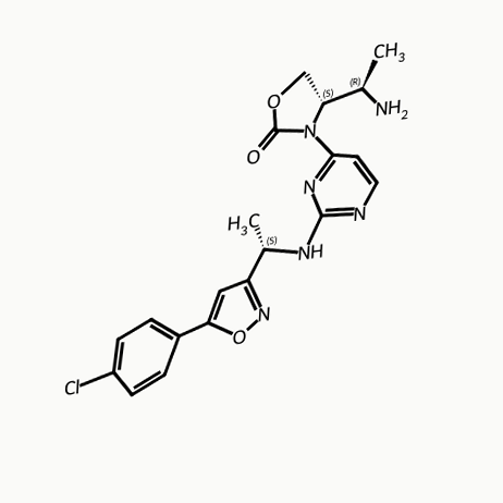 C[C@H](Nc1nccc(N2C(=O)OC[C@@H]2[C@@H](C)N)n1)c1cc(-c2ccc(Cl)cc2)on1